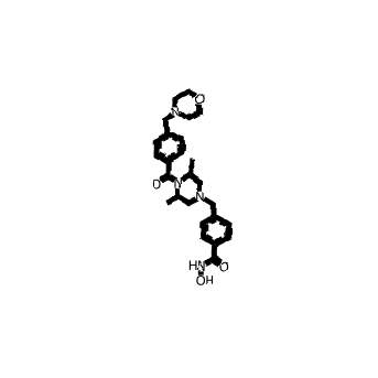 CC1CN(Cc2ccc(C(=O)NO)cc2)CC(C)N1C(=O)c1ccc(CN2CCOCC2)cc1